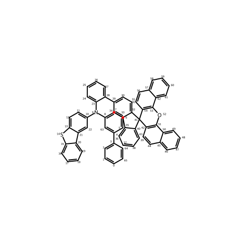 c1ccc(-c2cccc(N(c3ccc4sc5ccccc5c4c3)c3ccccc3-c3ccc4c(c3)-c3ccccc3C43c4ccc5ccccc5c4Oc4c3ccc3ccccc43)c2)cc1